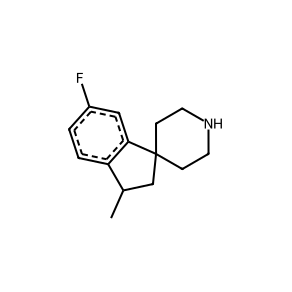 CC1CC2(CCNCC2)c2cc(F)ccc21